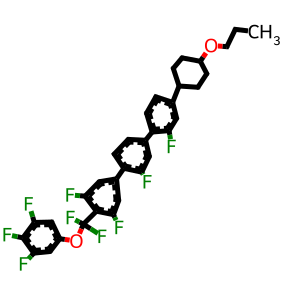 CCCOC1CCC(c2ccc(-c3ccc(-c4cc(F)c(C(F)(F)Oc5cc(F)c(F)c(F)c5)c(F)c4)c(F)c3)c(F)c2)CC1